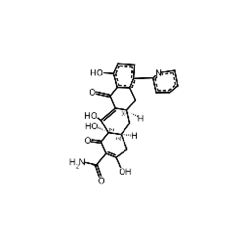 NC(=O)C1=C(O)C[C@@H]2C[C@@H]3Cc4c(-c5ccccn5)ccc(O)c4C(=O)C3=C(O)[C@]2(O)C1=O